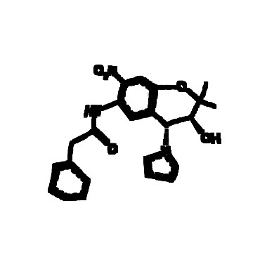 CC1(C)Oc2cc([N+](=O)[O-])c(NC(=O)Cc3ccccc3)cc2[C@@H](n2cccc2)[C@@H]1O